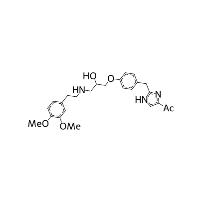 COc1ccc(CCNCC(O)COc2ccc(Cc3nc(C(C)=O)c[nH]3)cc2)cc1OC